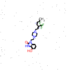 C=C/C=C\C(=C/CN1CCN(CCn2c(=O)[nH]c3c(O)cccc32)CC1)C(F)(F)F